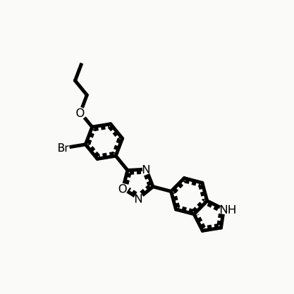 CCCOc1ccc(-c2nc(-c3ccc4[nH]ccc4c3)no2)cc1Br